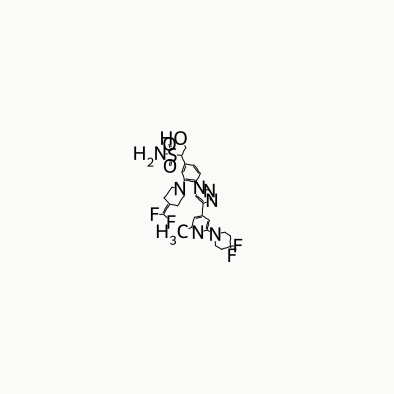 Cc1cc(-c2cn(-c3ccc(C(CO)S(N)(=O)=O)cc3N3CCC(=C(F)F)CC3)nn2)cc(N2CCC(F)(F)CC2)n1